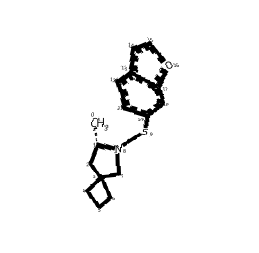 C[C@H]1CC2(CCC2)CN1Sc1ccc2ccoc2c1